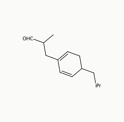 CC(C)CC1C=CC(CC(C)C=O)=CC1